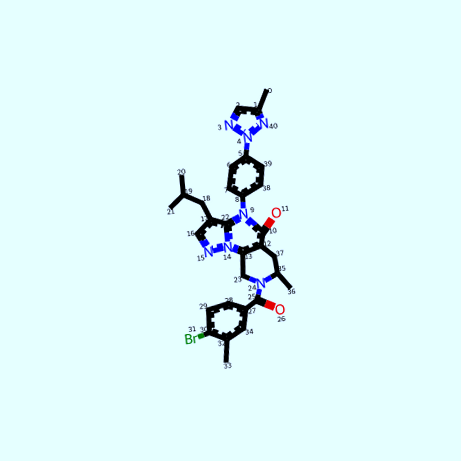 Cc1cnn(-c2ccc(-n3c(=O)c4c(n5ncc(CC(C)C)c35)CN(C(=O)c3ccc(Br)c(C)c3)C(C)C4)cc2)n1